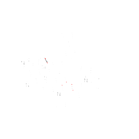 Cc1cc(-c2ccc3c4c(c5ccc(-c6cccc(-c7ccccc7)c6)cc5c3c2)[Si]2(c3ccccc3-c3ccccc32)c2c(c3ccncc3c3cnccc23)B4c2cccc(N(c3ccccc3)c3ccccc3)c2)cc(-n2c3ccccc3c3ccccc32)c1